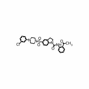 CC(=O)c1ccccc1NC(=O)N1CCc2cc(S(=O)(=O)N3CCN(c4cccc(Cl)c4)CC3)ccc21